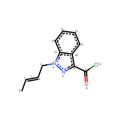 C/C=C/Cn1nc(C(=O)Cl)c2ccccc21